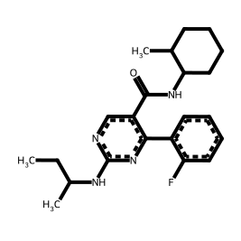 CCC(C)Nc1ncc(C(=O)NC2CCCCC2C)c(-c2ccccc2F)n1